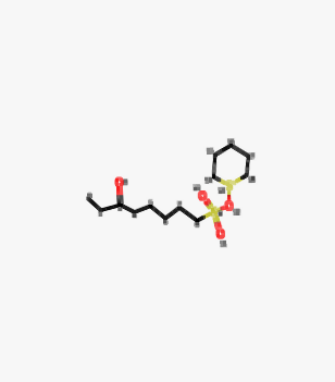 CCC(=O)CCCCCS(=O)(=O)O[S+]1CCCCC1